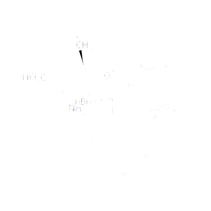 CCCCC1(O[C@H](C)[C@H](N)C(=O)O)c2ccccc2-c2ccccc21